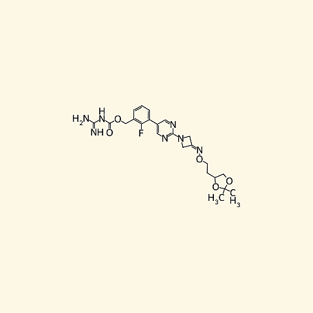 CC1(C)OCC(CCON=C2CN(c3ncc(-c4cccc(COC(=O)NC(=N)N)c4F)cn3)C2)O1